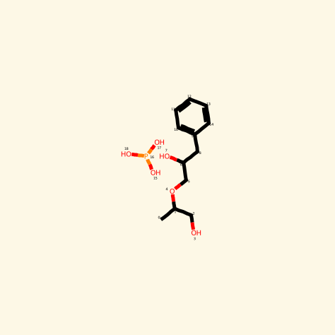 CC(CO)OCC(O)Cc1ccccc1.OP(O)O